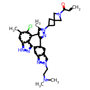 C=CC(=O)N1CC2(CC(n3nc(-c4ccc5nn(CCN(C)C)cc5c4)c(-c4c(Cl)c(C)cc5[nH]ncc45)c3C)C2)C1